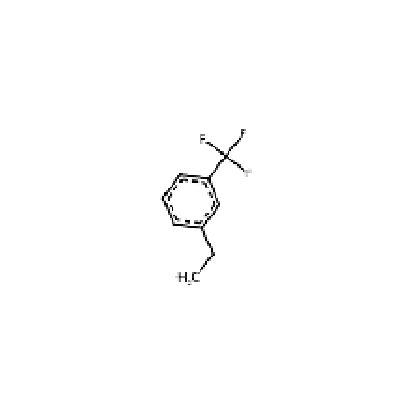 [CH2]Cc1cccc(C(F)(F)F)c1